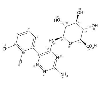 Nc1nnc(-c2cccc(Cl)c2Cl)c(N[C@@H]2O[C@H](C(=O)O)[C@@H](O)[C@H](O)[C@H]2O)n1